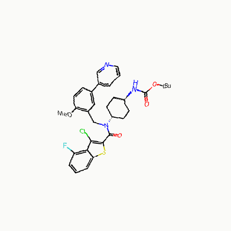 COc1ccc(-c2cccnc2)cc1CN(C(=O)c1sc2cccc(F)c2c1Cl)[C@H]1CC[C@H](NC(=O)OC(C)(C)C)CC1